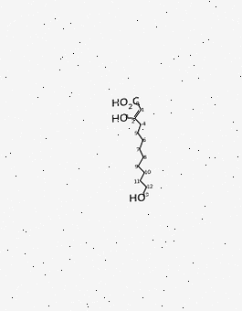 O=C(O)C=C(O)CCCCCCCCCO